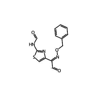 O=[C]/C(=N/OCc1ccccc1)c1csc(NC=O)n1